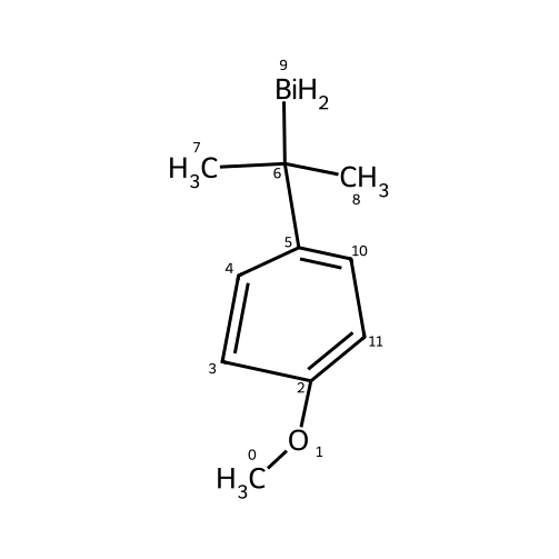 COc1ccc([C](C)(C)[BiH2])cc1